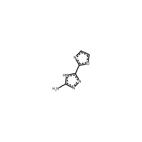 Nc1nnc(-c2ncco2)[nH]1